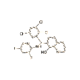 Oc1c(C(Nc2ncc(F)cc2F)c2cc(Cl)cc(Cl)c2Cl)ccc2cccnc12